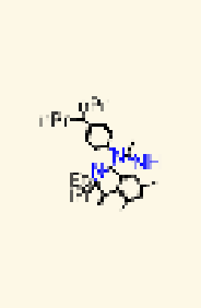 C=C1c2c(C)cc(C)cc2C(N(C(C)=N)c2ccc(C(CCC)CCC)cc2)=N[C@]1(CC)C(C)C